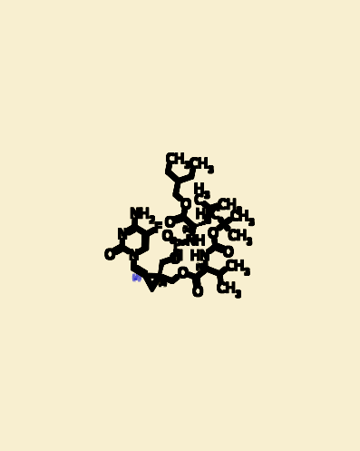 CCC(CC)COC(=O)[C@H](CC(C)C)N[PH](=O)OC[C@@]1(COC(=O)[C@@H](NC(=O)OC(C)(C)C)C(C)C)C/C1=C/n1cc(F)c(N)nc1=O